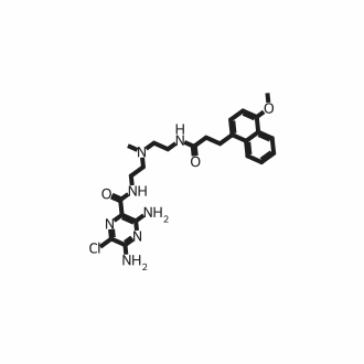 COc1ccc(CCC(=O)NCCN(C)CCNC(=O)c2nc(Cl)c(N)nc2N)c2ccccc12